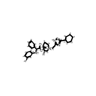 O=C(O[C@H]1C[N+]2(Cc3noc(C4CCCCC4)n3)CCC1CC2)C(Nc1cccc(F)c1)c1ccccc1